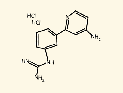 Cl.Cl.N=C(N)Nc1cccc(-c2cc(N)ccn2)c1